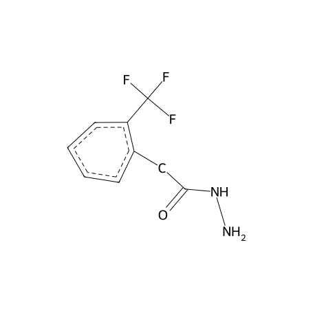 NNC(=O)Cc1ccccc1C(F)(F)F